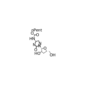 CCCCCOC(=O)Nc1cnn([C@@H]2O[C@H](CO)C[C@H]2O)c(=O)n1